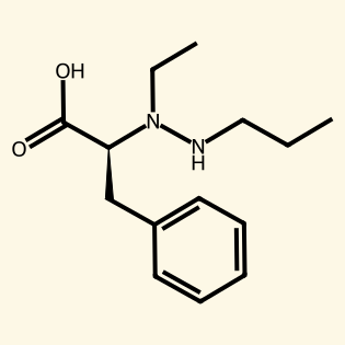 CCCNN(CC)[C@@H](Cc1ccccc1)C(=O)O